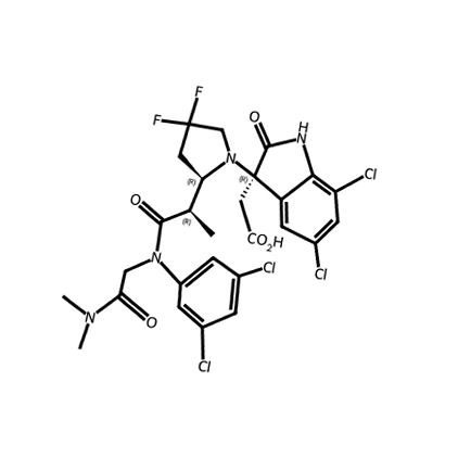 C[C@@H](C(=O)N(CC(=O)N(C)C)c1cc(Cl)cc(Cl)c1)[C@H]1CC(F)(F)CN1[C@@]1(CC(=O)O)C(=O)Nc2c(Cl)cc(Cl)cc21